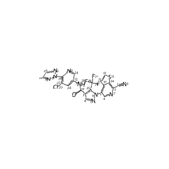 N#Cc1ncc(-n2ncc(C(=O)Nc3cnc(-n4nccn4)c(Cl)c3)c2C(F)(F)F)c2ccsc12